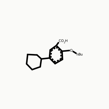 CCCCOc1ccc(C2CCCCC2)cc1C(=O)O